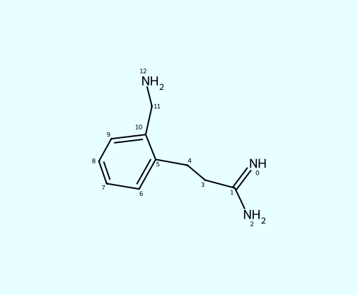 N=C(N)CCc1ccccc1CN